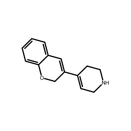 C1=C(C2=Cc3ccccc3OC2)CCNC1